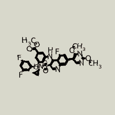 COC(=O)c1cc(Nc2c(S(=O)(=O)NC3CC3)cnc3cc(-c4cnc(OC)nc4OC)cc(F)c23)cc(Oc2cc(F)cc(F)c2)c1